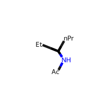 [CH2]CCC(C[CH2])NC(C)=O